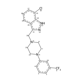 FC(F)(F)c1cccc(N2CCN(Cc3n[nH]c4c(Cl)cccc34)CC2)c1